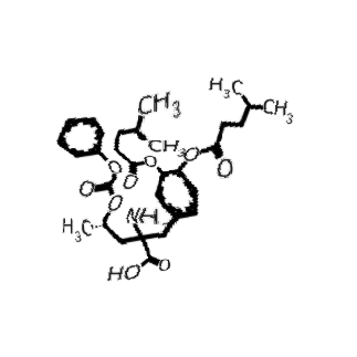 CC(C)CCC(=O)Oc1ccc(CC(N)(C[C@H](C)OC(=O)Oc2ccccc2)C(=O)O)cc1OC(=O)CCC(C)C